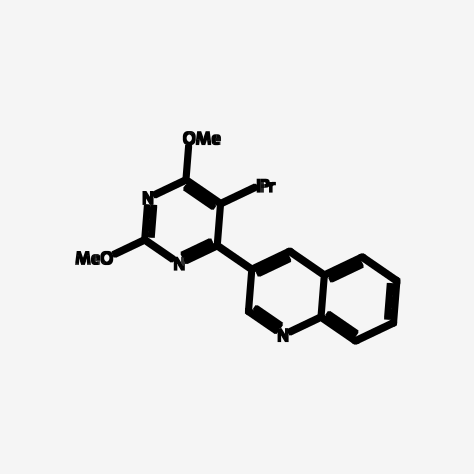 COc1nc(OC)c(C(C)C)c(-c2cnc3ccccc3c2)n1